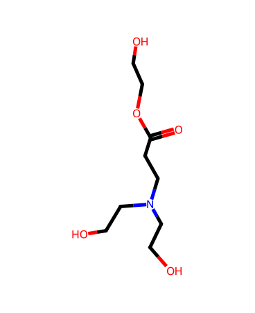 O=C(CCN(CCO)CCO)OCCO